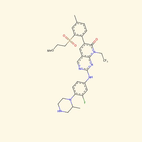 COCCS(=O)(=O)c1cc(C)ccc1-c1cc2cnc(Nc3ccc(N4CCNCC4C)c(F)c3)nc2n(CC(F)(F)F)c1=O